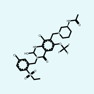 CCS(=O)(=O)c1ccc(Cl)cc1CN1C(=O)c2cc(OC(F)(F)F)c(CN3CCC[C@H](NC(C)=O)C3)c(Cl)c2NC1O